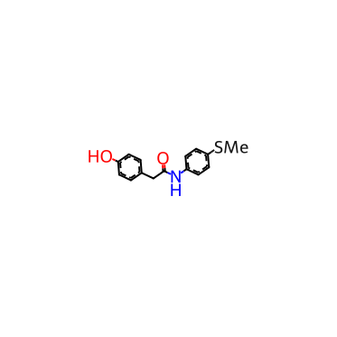 CSc1ccc(NC(=O)Cc2ccc(O)cc2)cc1